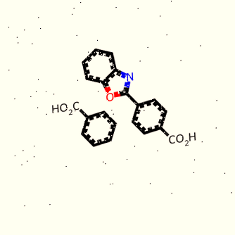 O=C(O)c1ccc(-c2nc3ccccc3o2)cc1.O=C(O)c1ccccc1